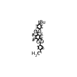 C=Cc1ccc(C(=O)Oc2c(F)c(F)c(C(=O)Oc3ccc(C(C)(C)C)cc3)c(F)c2F)cc1